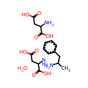 CC(N)Cc1ccccc1.NC(CC(=O)O)C(=O)O.NC(CC(=O)O)C(=O)O.O